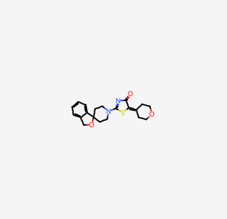 O=C1N=C(N2CCC3(CC2)OCc2ccccc23)SC1=C1CCOCC1